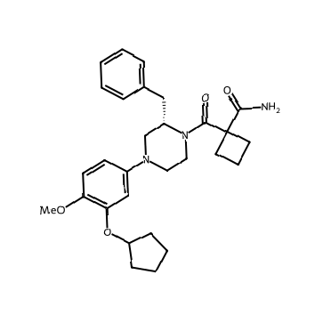 COc1ccc(N2CCN(C(=O)C3(C(N)=O)CCC3)[C@@H](Cc3ccccc3)C2)cc1OC1CCCC1